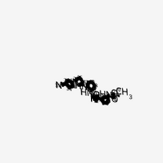 CCOC(=O)Nc1cccc(-c2cnc(N[C@@H]3CCCC[C@H]3N[C@H]3CCCN(c4ccc(C#N)cc4)C3)o2)c1